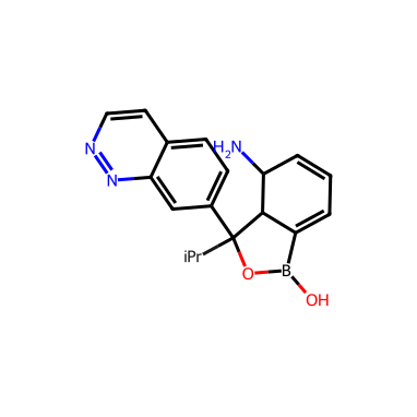 CC(C)C1(c2ccc3ccnnc3c2)OB(O)C2=CC=CC(N)C21